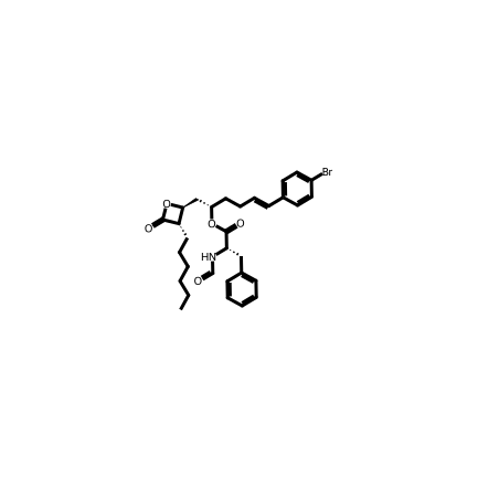 CCCCCC[C@@H]1C(=O)O[C@H]1C[C@H](CC/C=C/c1ccc(Br)cc1)OC(=O)[C@H](Cc1ccccc1)NC=O